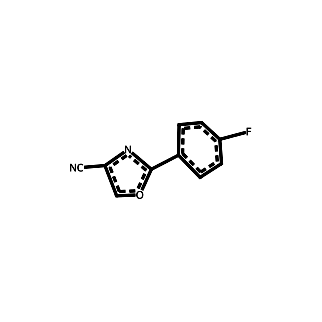 N#Cc1coc(-c2ccc(F)cc2)n1